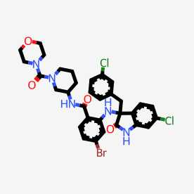 O=C(NC1CCCN(C(=O)N2CCOCC2)C1)c1ccc(Br)cc1NC1(Cc2cccc(Cl)c2)C(=O)Nc2cc(Cl)ccc21